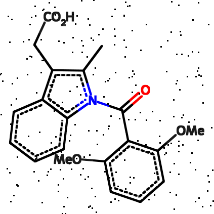 COc1cccc(OC)c1C(=O)n1c(C)c(CC(=O)O)c2ccccc21